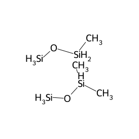 C[SiH2]O[SiH3].C[SiH](C)O[SiH3]